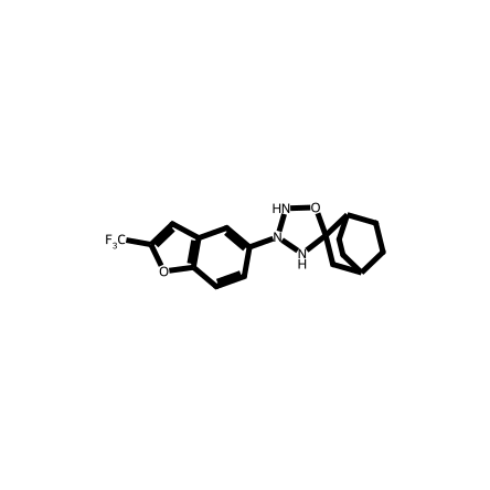 FC(F)(F)c1cc2cc(N3NOC4(CC5CCC4CC5)N3)ccc2o1